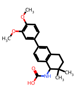 COc1ccc(-c2ccc3c(c2)CCC(C)(C)C3NC(=O)O)cc1OC